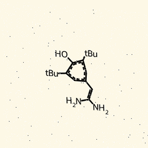 CC(C)(C)c1cc(C=C(N)N)cc(C(C)(C)C)c1O